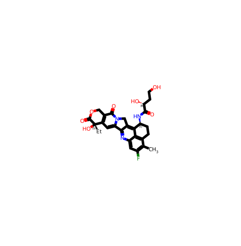 CC[C@@]1(O)C(=O)OCc2c1cc1n(c2=O)Cc2c-1nc1cc(F)c(C)c3c1c2[C@@H](NC(=O)[C@H](O)CCO)CC3